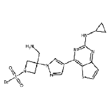 CCS(=O)(=O)N1CC(CN)(n2cc(-c3nc(NC4CC4)nc4ccsc34)cn2)C1